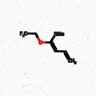 C=C/C=C(\NC)OCC(F)(F)F